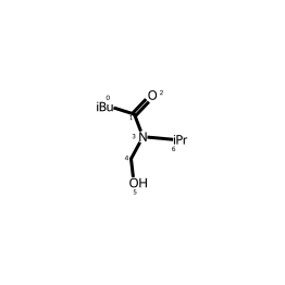 CCC(C)C(=O)N(CO)C(C)C